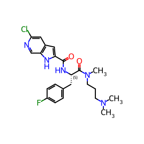 CN(C)CCCN(C)C(=O)[C@H](Cc1ccc(F)cc1)NC(=O)c1cc2cc(Cl)ncc2[nH]1